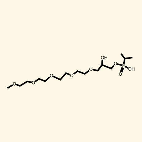 COCCOCCOCCOCCOCC(O)COP(=O)(O)C(C)C